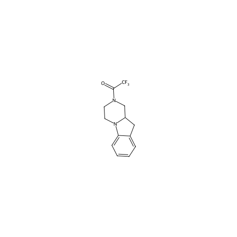 O=C(N1CCN2c3ccccc3CC2C1)C(F)(F)F